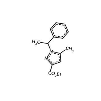 CCOC(=O)c1cc(C)n(C(C)c2ccccc2)n1